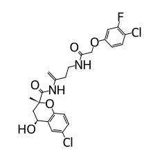 C=C(CCNC(=O)COc1ccc(Cl)c(F)c1)NC(=O)[C@@]1(C)C[C@H](O)c2cc(Cl)ccc2O1